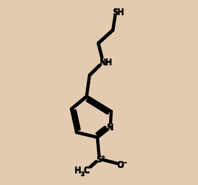 C[S+]([O-])c1ccc(CNCCS)cn1